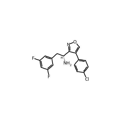 N[C@H](Cc1cc(F)cc(F)c1)c1nocc1-c1ccc(Cl)cc1